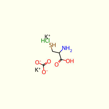 Cl.NC(CS)C(=O)O.O=C([O-])[O-].[K+].[K+]